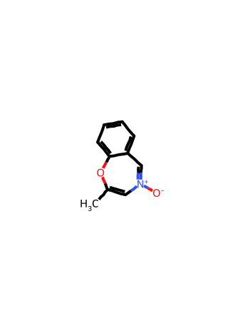 CC1=C[N+]([O-])=Cc2ccccc2O1